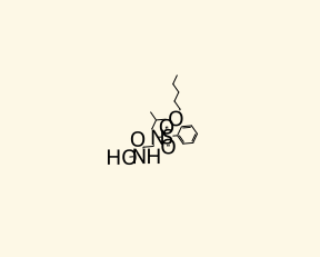 CCCCCOc1ccccc1S(=O)(=O)N(CC(=O)NO)CC(C)C